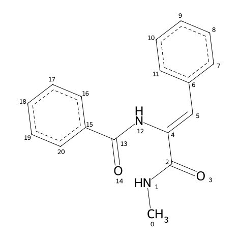 CNC(=O)C(=Cc1ccccc1)NC(=O)c1ccccc1